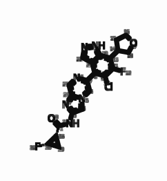 O=C(Nc1cn2cc(-c3c(Cl)c(F)c(C4CCOC4)c4[nH]ncc34)ncc2n1)[C@@H]1C[C@@H]1F